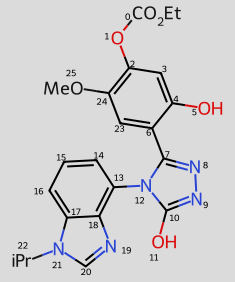 CCOC(=O)Oc1cc(O)c(-c2nnc(O)n2-c2cccc3c2ncn3C(C)C)cc1OC